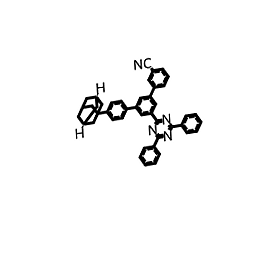 N#Cc1cccc(-c2cc(-c3ccc(C45CC6C[C@H](C4)C[C@@H](C6)C5)cc3)cc(-c3nc(-c4ccccc4)nc(-c4ccccc4)n3)c2)c1